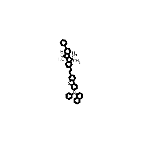 CC1(C)C2=C(c3ccc(/C=C/c4ccc5c(c4)sc4cc(N(c6ccccc6)c6cccc7ccccc67)ccc45)cc31)C(C)(C)c1cc(-c3ccccc3)ccc12